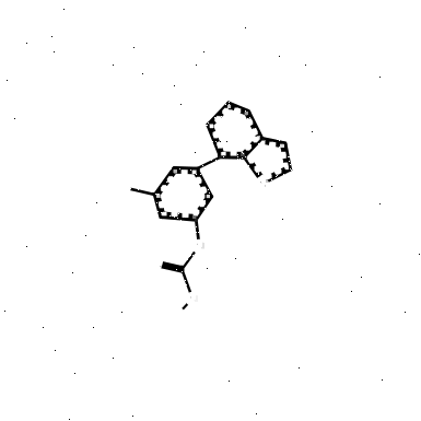 CCNC(=S)Nc1cc(C)cc(-c2cccc3cc[nH]c23)c1